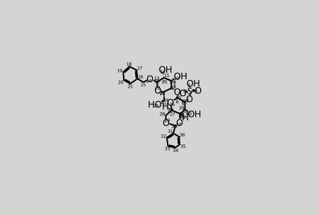 O=S(=O)(O)O[C@H]1[C@@H](O[C@H]2[C@H](O)[C@@H](O)[C@H](OCc3ccccc3)O[C@@H]2CO)O[C@@H]2COC(c3ccccc3)O[C@H]2[C@@H]1O